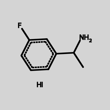 CC(N)c1cccc(F)c1.I